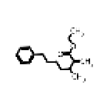 C=C(C(=O)OCC)C(C)CCCCc1ccccc1